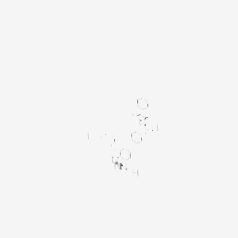 COC(=O)CC(c1ccc(Cl)c(CN(C)S(=O)(=O)c2ccc3c(c2)CCC3)c1)c1ccc2c(c1)nnn2C